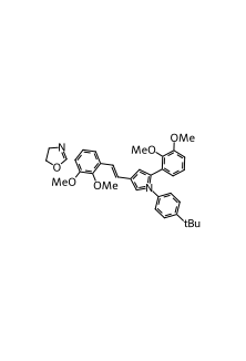 C1=NCCO1.COc1cccc(C=Cc2cc(-c3cccc(OC)c3OC)n(-c3ccc(C(C)(C)C)cc3)c2)c1OC